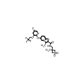 Cc1c(C(=O)NCC2(C)CS(=O)(=O)C2)nc2ccc(Oc3ncc(F)cc3OCC(F)(F)F)cn12